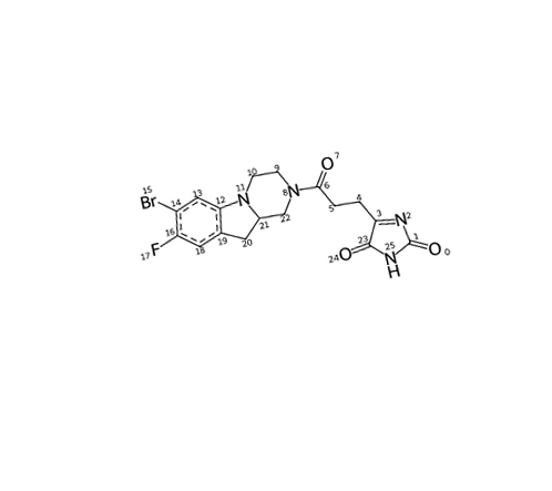 O=C1N=C(CCC(=O)N2CCN3c4cc(Br)c(F)cc4CC3C2)C(=O)N1